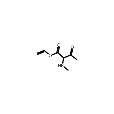 C=COC(=O)C(PC)C(C)=O